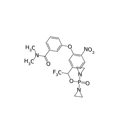 CN(C)C(=O)c1cccc(Oc2cc(C(OP(=O)(N3CC3)N3CC3)C(F)(F)F)ccc2[N+](=O)[O-])c1